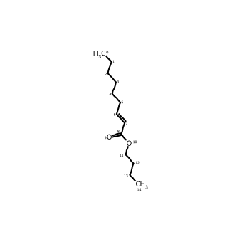 CCCCCCC=CC(=O)OCCCC